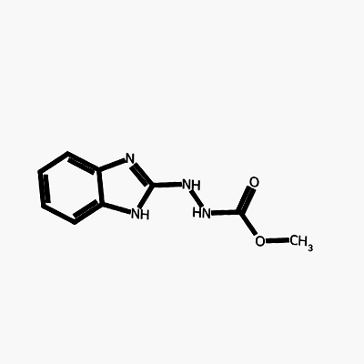 COC(=O)NNc1nc2ccccc2[nH]1